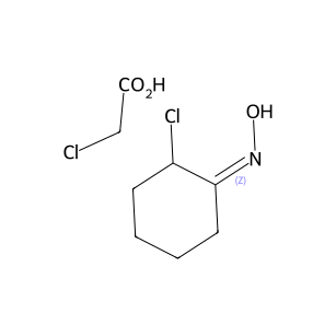 O/N=C1/CCCCC1Cl.O=C(O)CCl